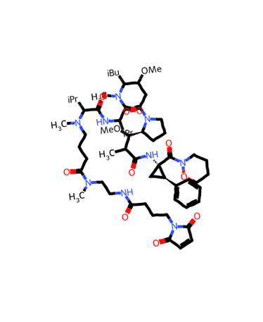 CCC(C)C(C(CC(=O)N1CCC[C@H]1C(OC)C(C)C(=O)N[C@@]1(C(=O)N2CCCCO2)C[C@@H]1c1ccccc1)OC)N(C)C(=O)C(NC(=O)C(C(C)C)N(C)CCCC(=O)N(C)CCNC(=O)CCCN1C(=O)C=CC1=O)C(C)C